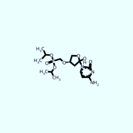 CC(C)OP(=O)(CO[C@H]1COC(O)(n2ccc(N)nc2=O)C1)OC(C)C